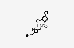 CC(C)Cc1cc(CNC(=O)c2ccc(Cl)cc2Cl)on1